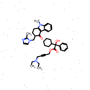 CCN(CC)CC#CCOC(=O)C(O)(c1ccccc1)C1CCCCC1.Cc1nccn1CC1CCc2c(c3ccccc3n2C)C1=O